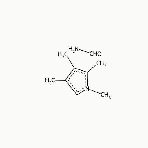 Cc1cn(C)c(C)c1C.NC=O